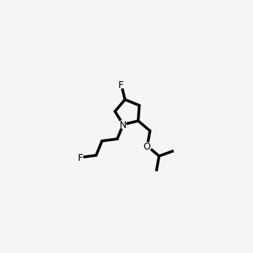 CC(C)OCC1CC(F)CN1CCCF